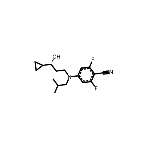 CC(C)CN(CC[C@@H](O)C1CC1)c1cc(F)c(C#N)c(F)c1